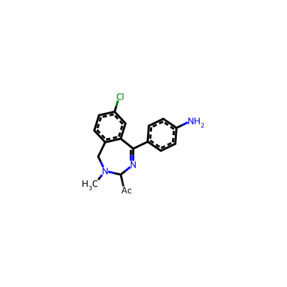 CC(=O)C1N=C(c2ccc(N)cc2)c2cc(Cl)ccc2CN1C